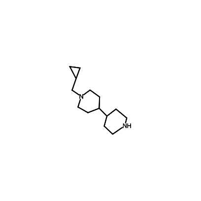 C1CC(C2CCN(CC3CC3)CC2)CCN1